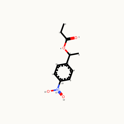 CCC(=O)OC(C)c1ccc([N+](=O)[O-])cc1